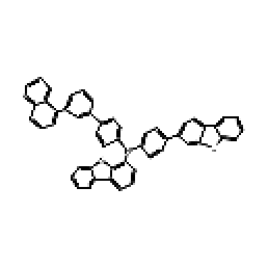 c1cc(-c2ccc(N(c3ccc(-c4ccc5c(c4)oc4ccccc45)cc3)c3cccc4c3sc3ccccc34)cc2)cc(-c2cccc3ccccc23)c1